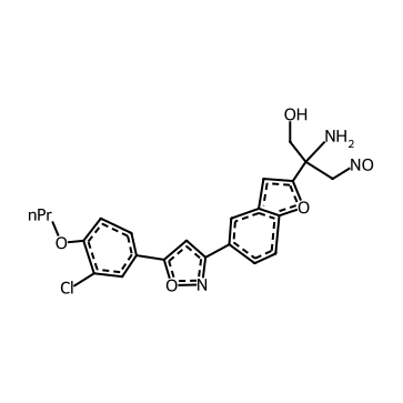 CCCOc1ccc(-c2cc(-c3ccc4oc(C(N)(CO)CN=O)cc4c3)no2)cc1Cl